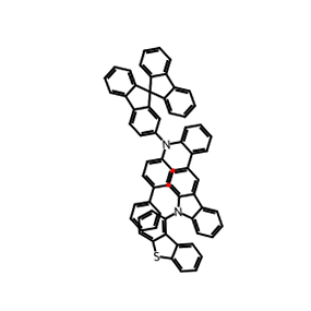 c1ccc(-c2ccc(N(c3ccc4c(c3)C3(c5ccccc5-c5ccccc53)c3ccccc3-4)c3ccccc3-c3ccc4c(c3)c3ccccc3n4-c3cccc4sc5ccccc5c34)cc2)cc1